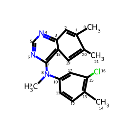 Cc1cc2ncnc(N(C)c3ccc(C)c(Cl)c3)c2cc1C